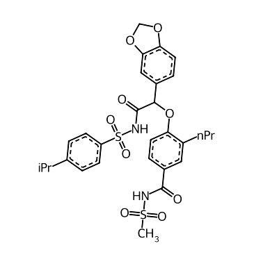 CCCc1cc(C(=O)NS(C)(=O)=O)ccc1OC(C(=O)NS(=O)(=O)c1ccc(C(C)C)cc1)c1ccc2c(c1)OCO2